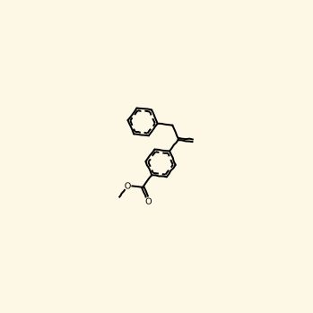 C=C(Cc1ccccc1)c1ccc(C(=O)OC)cc1